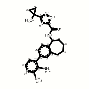 CC1(c2noc(C(=O)NC3CCCCc4cc(-c5ccnc(N)c5N)ccc43)n2)CC1